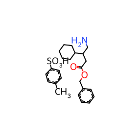 Cc1ccc(S(=O)(=O)O)cc1.NCC(CC(=O)OCc1ccccc1)C1CCCCC1